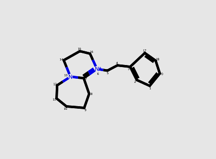 c1ccc(CC[N+]2=C3CCCCCN3CCC2)cc1